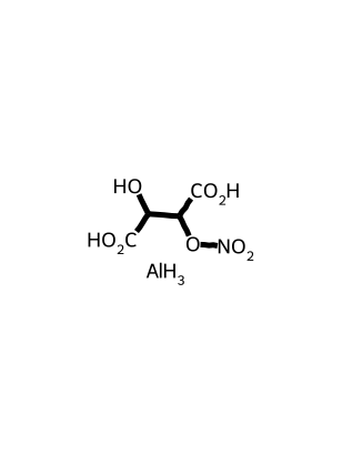 O=C(O)C(O)C(O[N+](=O)[O-])C(=O)O.[AlH3]